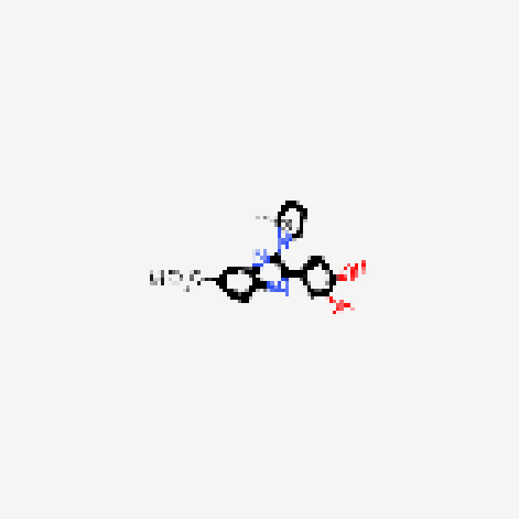 C[C@@H]1CCCN1c1nc2cc(C(=O)O)ccc2nc1-c1ccc(O)c(O)c1